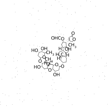 C[C@H]1O[C@@H](O[C@H]2[C@@H](O)C[C@H](O[C@H]3[C@@H](O)C[C@H](O[C@H]4CC[C@@]5(C)[C@H](CC[C@@H]6[C@@H]5CC[C@]5(C)[C@@H](C7=CC(=O)OC7)[C@@H](OC=O)C[C@]65O)C4)O[C@@H]3C)O[C@@H]2C)C[C@H](O)[C@@H]1O